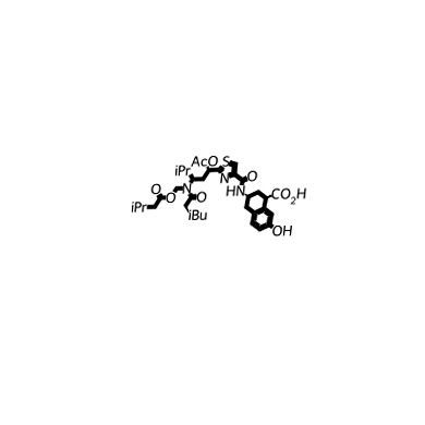 CC[C@H](C)CC(=O)N(COC(=O)CC(C)C)C(C[C@@H](OC(C)=O)c1nc(C(=O)N[C@H]2Cc3ccc(O)cc3[C@H](C(=O)O)C2)cs1)C(C)C